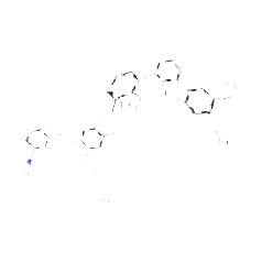 COc1ccc(-c2cccc(-c3cccc(COc4cc(OCc5cncc(C#N)c5)c(CNCO)cc4Cl)c3C)c2C)cc1CN